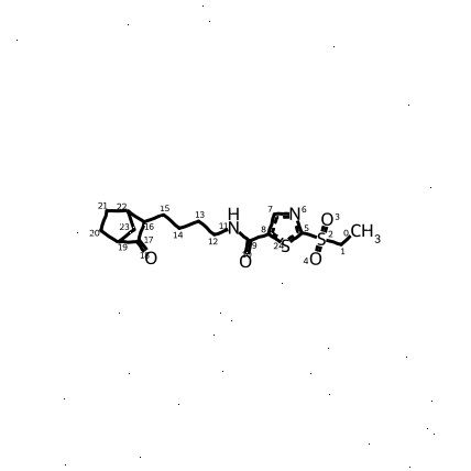 CCS(=O)(=O)c1ncc(C(=O)NCCCCC2C(=O)C3CCC2C3)s1